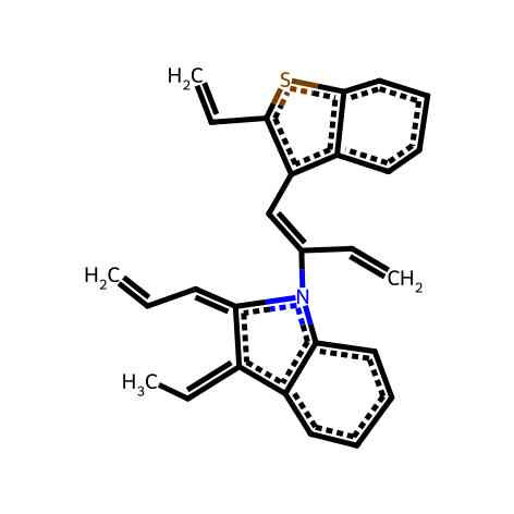 C=C/C=c1\c(=C/C)c2ccccc2n1/C(C=C)=C/c1c(C=C)sc2ccccc12